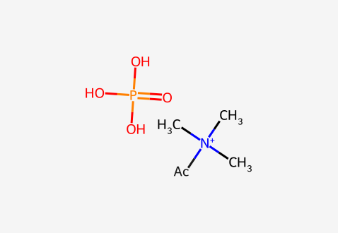 CC(=O)[N+](C)(C)C.O=P(O)(O)O